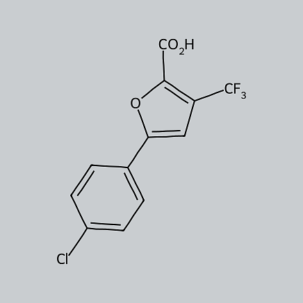 O=C(O)c1oc(-c2ccc(Cl)cc2)cc1C(F)(F)F